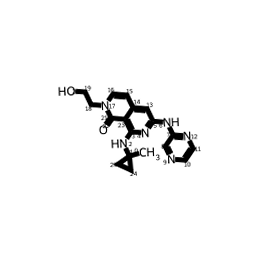 CC1(Nc2nc(Nc3cnccn3)cc3ccn(CCO)c(=O)c23)CC1